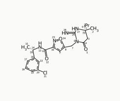 CC(C)[C@]1(C)CC(=O)N(Cc2cc(C(=O)N[C@@H](C)c3cccc(Cl)c3)no2)C(=N)N1